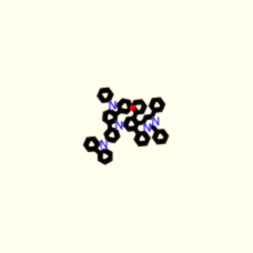 c1ccc(-c2cc(-c3c(-c4ccccc4)cc(-n4c5ccc(-n6c7ccccc7c7ccccc76)cc5c5ccc6c(c7ccccc7n6-c6ccccc6)c54)cc3-c3ccccc3)nc(-c3ccccc3)n2)cc1